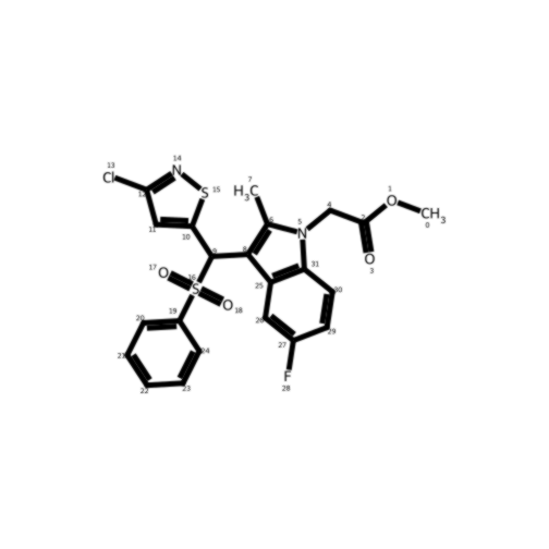 COC(=O)Cn1c(C)c(C(c2cc(Cl)ns2)S(=O)(=O)c2ccccc2)c2cc(F)ccc21